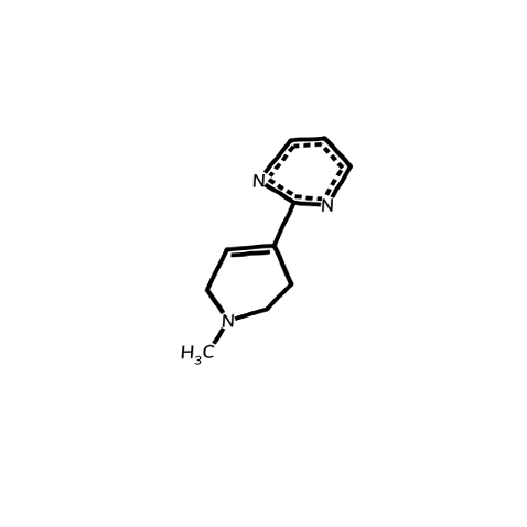 CN1CC=C(c2ncccn2)CC1